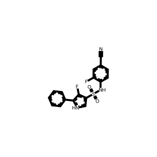 N#Cc1ccc(NS(=O)(=O)c2c[nH]c(-c3ccccc3)c2F)c(F)c1